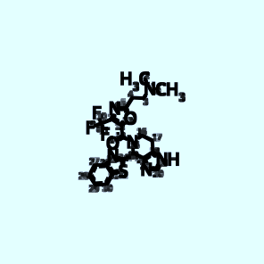 CN(C)CCc1nc(C(F)(F)F)c(C(=O)N2CCc3[nH]cnc3[C@H]2c2nc3ccccc3s2)o1